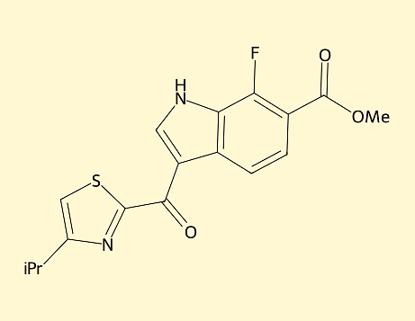 COC(=O)c1ccc2c(C(=O)c3nc(C(C)C)cs3)c[nH]c2c1F